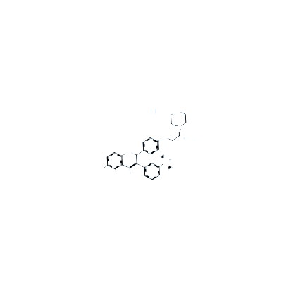 CC1=C(c2cccc(S(C)(=O)=O)c2)C(c2ccc(OC[C@H](C)N3CCO[C@@H](C)C3)cc2)Oc2ccc(O)cc21